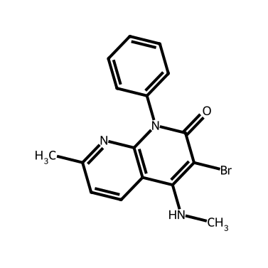 CNc1c(Br)c(=O)n(-c2ccccc2)c2nc(C)ccc12